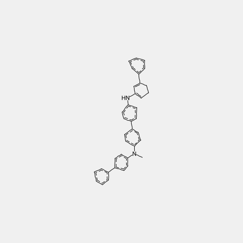 CN(c1ccc(-c2ccccc2)cc1)c1ccc(-c2ccc(NC3=CCCC(c4ccccc4)=C3)cc2)cc1